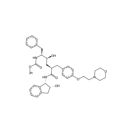 CC(C)OC(=O)N[C@@H](Cc1ccccc1)[C@@H](O)C[C@@H](Cc1ccc(OCCN2CCOCC2)cc1)C(=O)N[C@H]1c2ccccc2C[C@H]1O